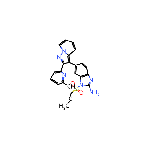 CCCS(=O)(=O)n1c(N)nc2ccc(-c3c(-c4cccc(C)n4)nn4ccccc34)cc21